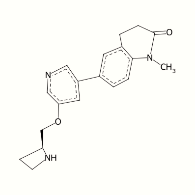 CN1C(=O)CCc2cc(-c3cncc(OC[C@@H]4CCN4)c3)ccc21